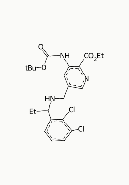 CCOC(=O)c1ncc(CNC(CC)c2cccc(Cl)c2Cl)cc1NC(=O)OC(C)(C)C